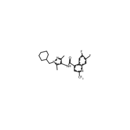 Cc1nn(CC2CCCCC2)c(C)c1NC(=O)c1cc(C(F)(F)F)nc2cc(F)c(F)cc12